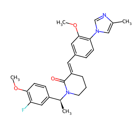 COc1ccc([C@H](C)N2CCC/C(=C\c3ccc(-n4cnc(C)c4)c(OC)c3)C2=O)cc1F